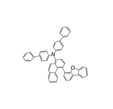 c1ccc(-c2ccc(N(c3ccc(-c4ccccc4)cc3)c3ccc(-c4cccc5c4oc4ccccc45)c4c3ccc3ccccc34)cc2)cc1